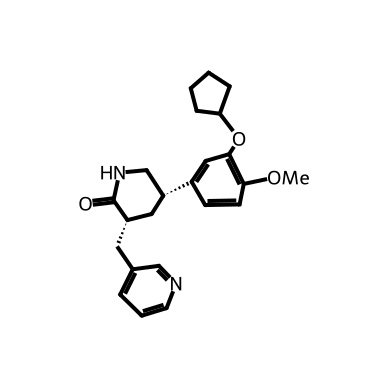 COc1ccc([C@H]2CNC(=O)[C@@H](Cc3cccnc3)C2)cc1OC1CCCC1